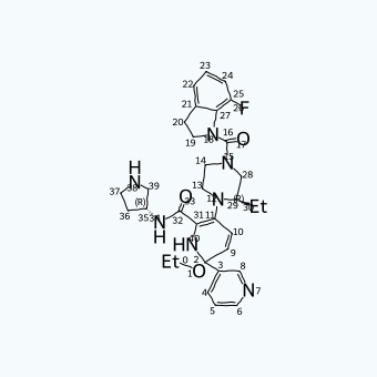 CCOC1(c2cccnc2)C=CC(N2CCN(C(=O)N3CCc4cccc(F)c43)C[C@H]2CC)=C(C(=O)N[C@@H]2CCNC2)N1